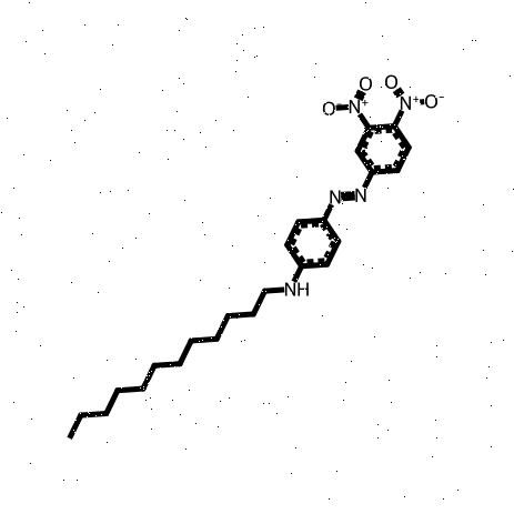 CCCCCCCCCCCCNc1ccc(N=Nc2ccc([N+](=O)[O-])c([N+](=O)[O-])c2)cc1